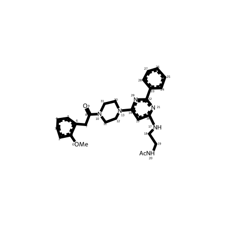 COc1ccccc1CC(=O)N1CCN(c2cc(NCCNC(C)=O)nc(-c3ccccc3)n2)CC1